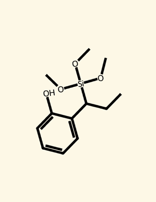 CCC(c1ccccc1O)[Si](OC)(OC)OC